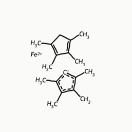 CC1=C(C)C(C)=C(C)C1.Cc1[cH-]c(C)c(C)c1C.[Fe+2]